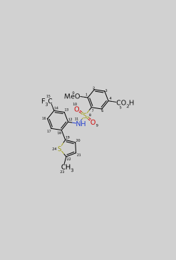 COc1ccc(C(=O)O)cc1S(=O)(=O)Nc1cc(C(F)(F)F)ccc1-c1ccc(C)s1